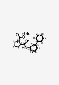 CC(C)(C)OC(=O)N1CCCC1C(=O)Nc1nccc(-c2ccccc2)n1